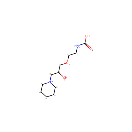 O=C(O)NCCOCC(O)CN1CCCCC1